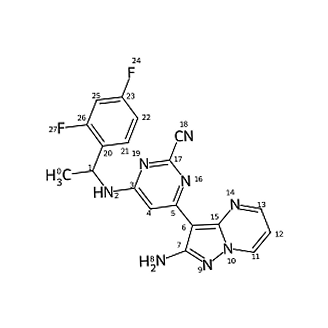 CC(Nc1cc(-c2c(N)nn3cccnc23)nc(C#N)n1)c1ccc(F)cc1F